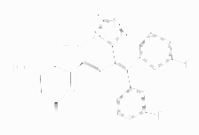 Cn1nnnc1C(/C=C/[C@@H]1C[C@@H](O)CC(=O)O1)=C(c1cccc(F)c1)c1cccc(F)c1